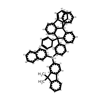 CC1(C)c2ccccc2-c2ccc(N(c3cccc(C4(C5C=CC=CC5)c5ccccc5C5(c6ccccc6)c6c(cccc64)C4=CC=CCC45)c3)c3ccc4ccccc4c3)cc21